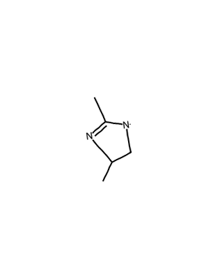 CC1=NC(C)C[N]1